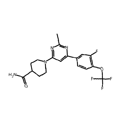 Cc1nc(-c2ccc(OC(F)(F)F)c(F)c2)cc(N2CCC(C(N)=O)CC2)n1